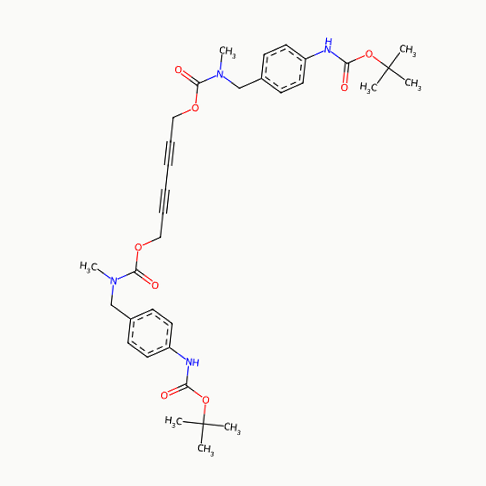 CN(Cc1ccc(NC(=O)OC(C)(C)C)cc1)C(=O)OCC#CC#CCOC(=O)N(C)Cc1ccc(NC(=O)OC(C)(C)C)cc1